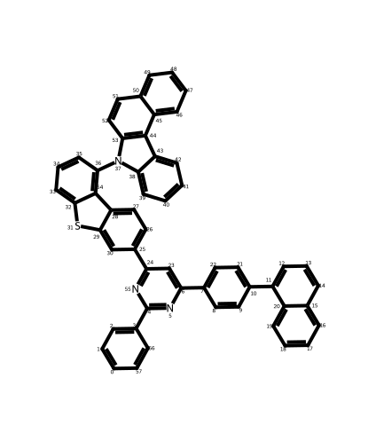 c1ccc(-c2nc(-c3ccc(-c4cccc5ccccc45)cc3)cc(-c3ccc4c(c3)sc3cccc(-n5c6ccccc6c6c7ccccc7ccc65)c34)n2)cc1